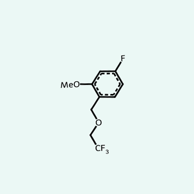 COc1cc(F)ccc1COCC(F)(F)F